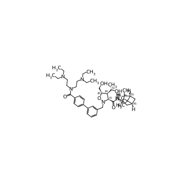 CCN(CC)CCN(CCN(CC)CC)C(=O)c1ccc(-c2cccc(CN3O[C@@H](CO)[C@@H]([C@H](C)O)[C@H]3C(=O)N[C@H]3C[C@H]4C[C@@H]([C@@H]3C)C4(C)C)c2)cc1